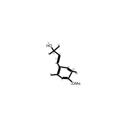 COc1cc(C)c(/C=C/C(C)(C)O)cc1C